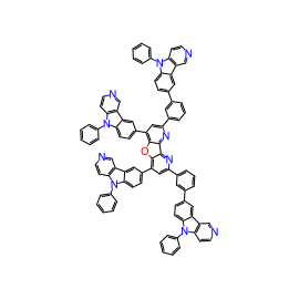 c1ccc(-n2c3ccncc3c3cc(-c4cccc(-c5cc(-c6ccc7c(c6)c6cnccc6n7-c6ccccc6)c6oc7c(-c8ccc9c(c8)c8cnccc8n9-c8ccccc8)cc(-c8cccc(-c9ccc%10c(c9)c9cnccc9n%10-c9ccccc9)c8)nc7c6n5)c4)ccc32)cc1